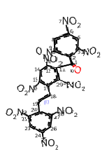 O=C(c1c([N+](=O)[O-])cc([N+](=O)[O-])cc1[N+](=O)[O-])c1c([N+](=O)[O-])cc([N+](=O)[O-])c(/C=C/c2c([N+](=O)[O-])cc([N+](=O)[O-])cc2[N+](=O)[O-])c1[N+](=O)[O-]